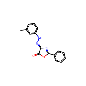 Cc1cccc(NN=C2N=C(c3ccccc3)OC2=O)c1